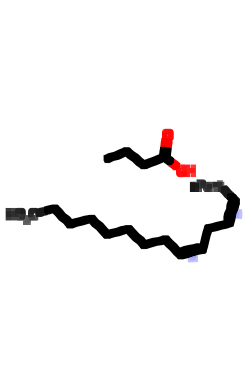 CCCC(=O)O.CCCCC/C=C\C/C=C\CCCCCCCC(=O)O